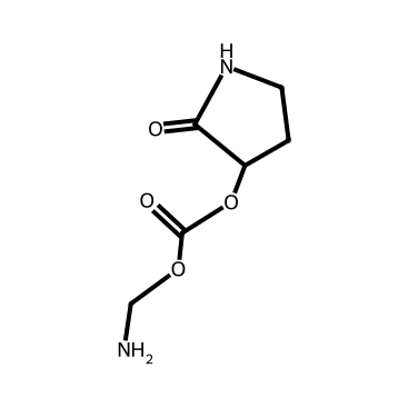 NCOC(=O)OC1CCNC1=O